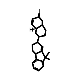 CC1(C)C2=CC(C3CCC4CC(I)C=C[C@H]4C3)CCC2c2ccccc21